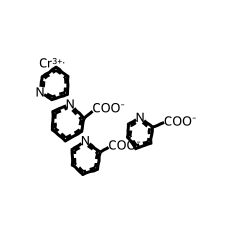 O=C([O-])c1ccccn1.O=C([O-])c1ccccn1.O=C([O-])c1ccccn1.[Cr+3].c1ccncc1